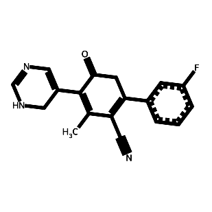 CC1=C(C2=CN=CNC2)C(=O)CC(c2cccc(F)c2)=C1C#N